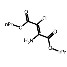 CCCOC(=O)C(N)=C(Cl)C(=O)OCCC